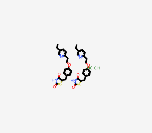 CCc1ccc(CCOc2ccc(CC3SC(=O)NC3=O)cc2)nc1.CCc1ccc(CCOc2ccc(CC3SC(=O)NC3=O)cc2)nc1.Cl.Cl